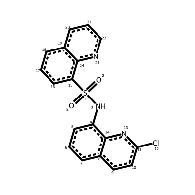 O=S(=O)(Nc1cccc2ccc(Cl)nc12)c1cccc2cccnc12